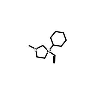 C=C[N+]1(C2CCCCC2)CCN(C)C1